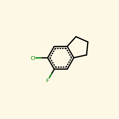 Fc1cc2c(cc1Cl)CCC2